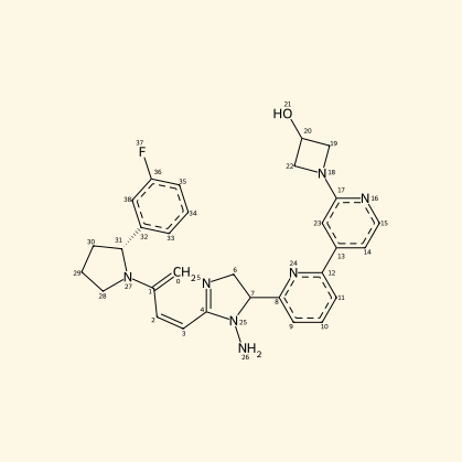 C=C(/C=C\C1=NCC(c2cccc(-c3ccnc(N4CC(O)C4)c3)n2)N1N)N1CCC[C@@H]1c1cccc(F)c1